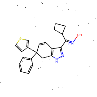 O/N=C(/c1n[nH]c2c1C=CC(c1ccccc1)(c1ccsc1)C2)C1CCC1